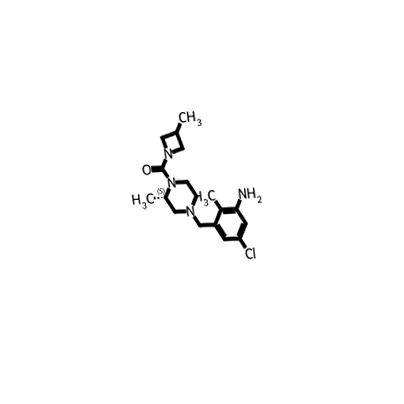 Cc1c(N)cc(Cl)cc1CN1CCN(C(=O)N2CC(C)C2)[C@@H](C)C1